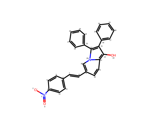 O=[N+]([O-])c1ccc(C=Cc2ccc3c(O)c(-c4ccccc4)c(-c4ccccc4)n3c2)cc1